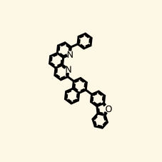 c1ccc(-c2ccc3ccc4ccc(-c5ccc(-c6ccc7oc8ccccc8c7c6)c6ccccc56)nc4c3n2)cc1